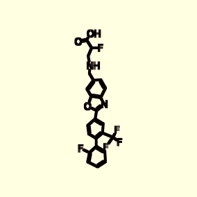 O=C(O)C(F)CNCc1ccc2nc(-c3ccc(-c4ccccc4F)c(C(F)(F)F)c3)oc2c1